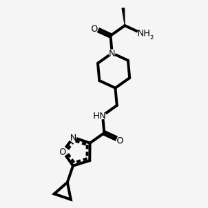 C[C@@H](N)C(=O)N1CCC(CNC(=O)c2cc(C3CC3)on2)CC1